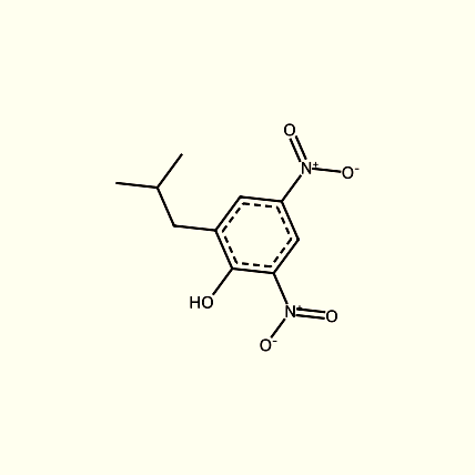 CC(C)Cc1cc([N+](=O)[O-])cc([N+](=O)[O-])c1O